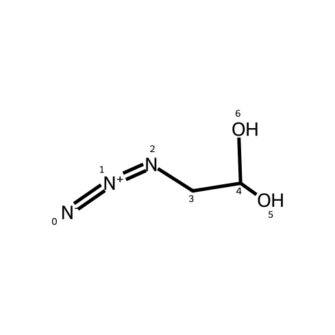 [N-]=[N+]=NCC(O)O